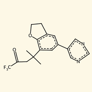 CC(C)(CC(=O)C(F)(F)F)c1cc(-c2cncnc2)cc2c1OCC2